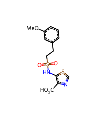 COc1cccc(CCS(=O)(=O)Nc2scnc2C(=O)O)c1